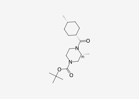 C[C@@H]1CN(C(=O)OC(C)(C)C)CCN1C(=O)[C@H]1CC[C@@H](C)CC1